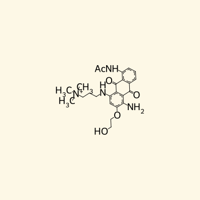 CC(=O)Nc1cccc2c1C(=O)c1c(NCCC[N+](C)(C)C)cc(OCCO)c(N)c1C2=O